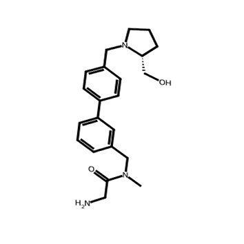 CN(Cc1cccc(-c2ccc(CN3CCC[C@@H]3CO)cc2)c1)C(=O)CN